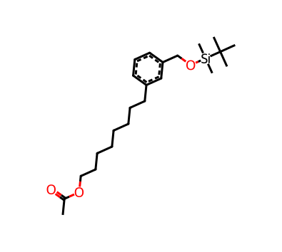 CC(=O)OCCCCCCCCc1cccc(CO[Si](C)(C)C(C)(C)C)c1